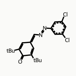 CC(C)(C)C1=CC(=CN=Nc2cc(Cl)cc(Cl)c2)C=C(C(C)(C)C)C1=O